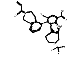 C=CC(=O)N1CCc2c(cccc2-c2c(F)cc(C(N)=O)c3[nH]c4c(c23)CC[C@@H](C(F)(F)F)C4)C1